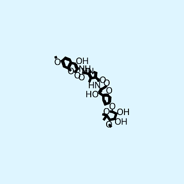 COc1ccc2c(O)c(NC(=O)c3[nH]cc(C(=O)Nc4c(O)c5ccc(O[C@@H]6OC(C)(C)[C@H](OC)[C@@H](O)[C@H]6O)cc5oc4=O)c3C)c(=O)oc2c1